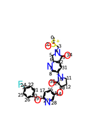 C[S+]([O-])CN1Cc2ncc(N3CC[C@@H](Oc4ccc(Oc5ccc(F)cc5)nc4)C3=O)cc2C1=O